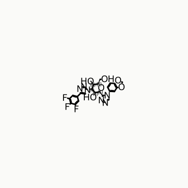 OC[C@H]1O[C@@H](c2nncn2-c2ccc3c(c2)OCO3)[C@H](O)[C@@H](n2cc(-c3cc(F)c(F)c(F)c3)nn2)[C@H]1O